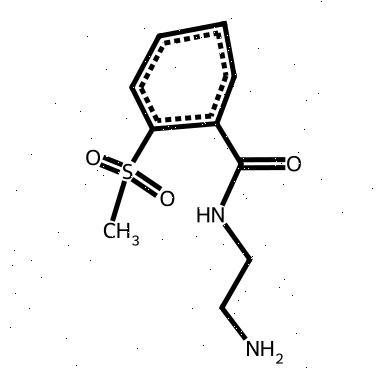 CS(=O)(=O)c1ccccc1C(=O)NCCN